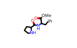 COC(=O)C(CC(C)C)NC(=O)C1CCCN1